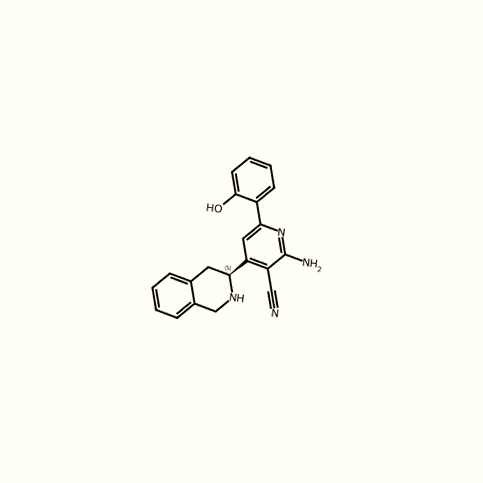 N#Cc1c([C@@H]2Cc3ccccc3CN2)cc(-c2ccccc2O)nc1N